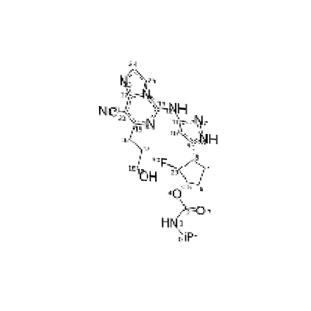 CC(C)NC(=O)O[C@H]1CC[C@@H](c2cc(Nc3nc(CCCO)c(C#N)c4nccn34)n[nH]2)[C@@H]1F